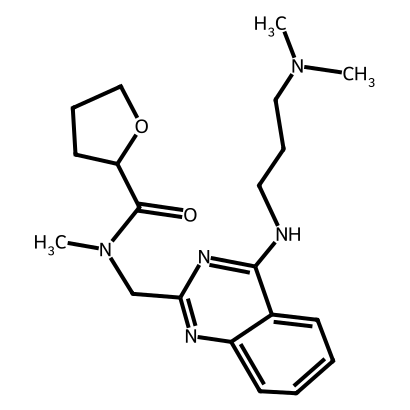 CN(C)CCCNc1nc(CN(C)C(=O)C2CCCO2)nc2ccccc12